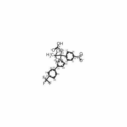 CC(C)(C)[C@](OC(=O)O)(c1ccc([N+](=O)[O-])cc1)n1ccc(-c2ccc(C(F)(F)F)cc2)n1